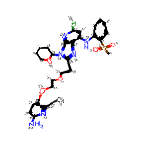 CS(=O)(=O)c1ccccc1Nc1cc(Cl)nc2c1nc(CCOCCOc1ccc(N)nc1C#N)n2C1CCCCO1